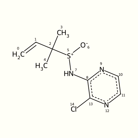 C=CC(C)(C)[S+]([O-])Nc1nccnc1Cl